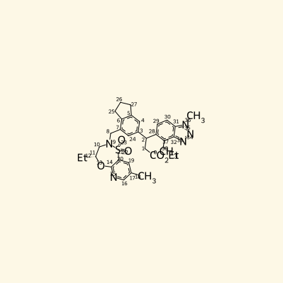 CCOC(=O)CC(c1cc2c(c(CN3C[C@@H](CC)Oc4ncc(C)cc4S3(=O)=O)c1)CCC2)c1ccc2c(nnn2C)c1C